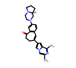 Cc1cn2cc(C3=Cc4ccc(N5CCN6CCC[C@H]6C5)cc4C(=O)CC3)cc2c(C)n1